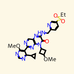 CCS(=O)(=O)c1ccc(CNc2nc3cnc(-c4c(OC)ncnc4C4CC4)nc3n(C3CC(OC)C3)c2=O)nc1